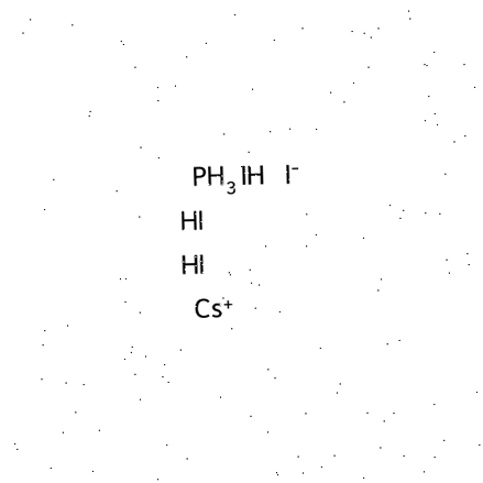 I.I.I.P.[Cs+].[I-]